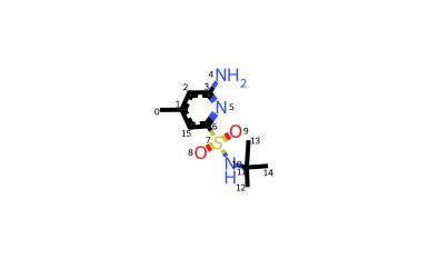 Cc1cc(N)nc(S(=O)(=O)NC(C)(C)C)c1